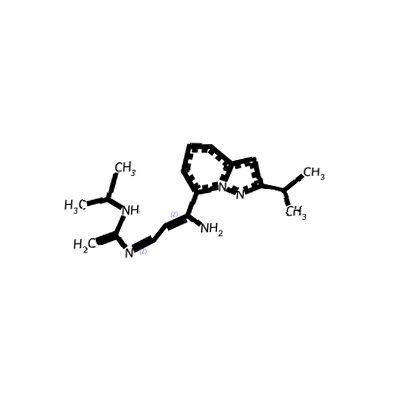 C=C(/N=C\C=C(/N)c1cccc2cc(C(C)C)nn12)NC(C)C